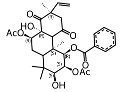 C=C[C@@]1(C)CC(=O)C2[C@]3(C)C(C[C@@H](OC(C)=O)[C@@]2(O)C1=O)C(C)(C)[C@H](O)[C@H](OC(C)=O)[C@@H]3OC(=O)c1ccccc1